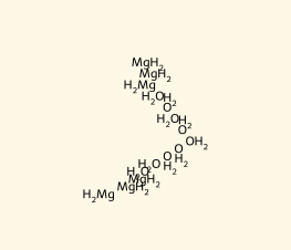 O.O.O.O.O.O.O.O.O.[MgH2].[MgH2].[MgH2].[MgH2].[MgH2].[MgH2]